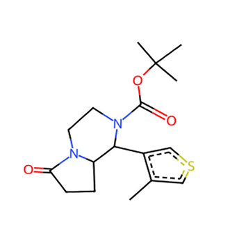 Cc1cscc1C1C2CCC(=O)N2CCN1C(=O)OC(C)(C)C